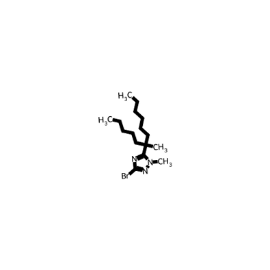 CCCCCCC(C)(CCCCC)c1nc(Br)nn1C